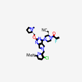 C=C(F)C(=O)N1CCN(c2nc(OC[C@@H]3CCCN3C)nc3c2CN(Cc2nc(NC)ccc2Cl)C3)C[C@@H]1CC#N